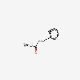 CC(C)COC(=O)CCc1ccccc1